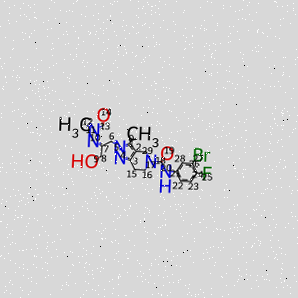 Cc1c2c(nn1C/C(CO)=N\N(C)C=O)CCN(C(=O)Nc1ccc(F)c(Br)c1)C2